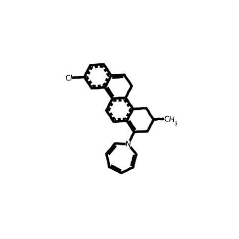 CC1CC(N2C=CC=CC=C2)=c2ccc3c(c2C1)CC=c1ccc(Cl)cc1=3